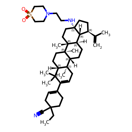 C=C(C)[C@@H]1CC[C@]2(NCCN3CCS(=O)(=O)CC3)CC[C@]3(C)[C@H](CC[C@@H]4[C@@]5(C)CC=C(C6=CCC(C#N)(CC)CC6)C(C)(C)[C@@H]5CC[C@]43C)[C@@H]12